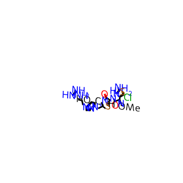 CO/N=C(\C(=O)N[C@@H]1C(=O)N2C(C(=O)O)=C(C[n+]3ccc4n(CCCNC(=N)N)ccn43)CS[C@H]12)c1nc(N)sc1Cl